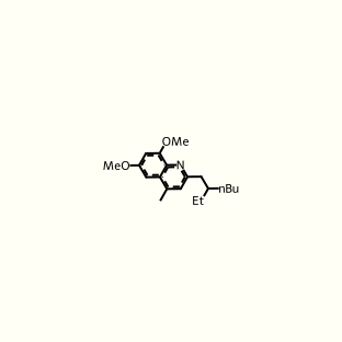 CCCCC(CC)Cc1cc(C)c2cc(OC)cc(OC)c2n1